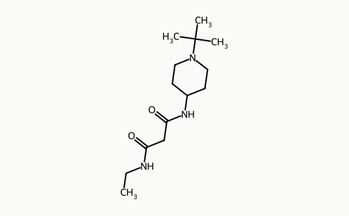 CCNC(=O)CC(=O)NC1CCN(C(C)(C)C)CC1